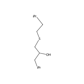 CC(C)CCSCC(O)CC(C)C